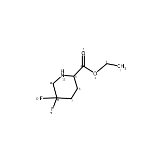 CCOC(=O)C1CCC(F)(F)CN1